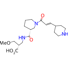 COC[C@H](CNC(=O)[C@@H]1CCCN(C(=O)/C=C/C2CCNCC2)C1)C(=O)O